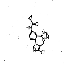 O=C(Nc1ccc2c(c1)-c1ncnn1Cc1c(Cl)ncn1-2)C1CC1